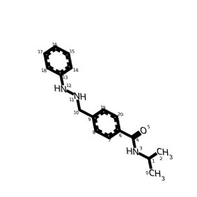 CC(C)NC(=O)c1ccc(CNNc2ccccc2)cc1